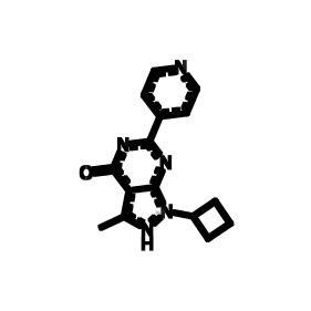 Cc1[nH]n(C2CCC2)c2nc(-c3ccncc3)nc(=O)c1-2